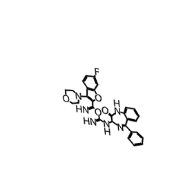 N=C(NC1N=C(c2ccccc2)c2ccccc2NC1=O)OC(=N)c1oc2cc(F)ccc2c1N1CCOCC1